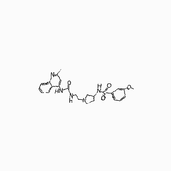 COc1cccc(S(=O)(=O)NC2CCN(CCNC(=O)Nc3cc(C)nc4ccccc34)C2)c1